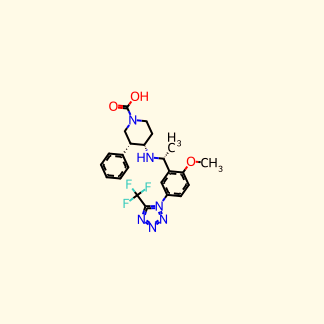 COc1ccc(-n2nnnc2C(F)(F)F)cc1[C@@H](C)N[C@H]1CCN(C(=O)O)C[C@H]1c1ccccc1